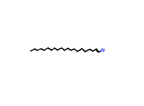 CCCCCCCCCCCCCCCCCCCC=C[N]